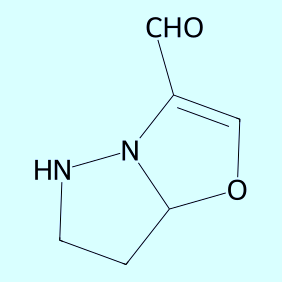 O=CC1=COC2CCNN12